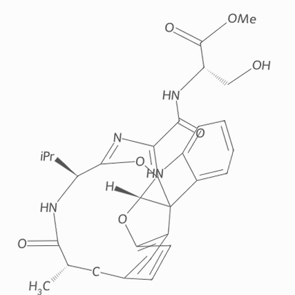 COC(=O)[C@H](CO)NC(=O)c1nc2oc1C13c4ccccc4N[C@H]1Oc1ccc(cc13)C[C@H](C)C(=O)N[C@H]2C(C)C